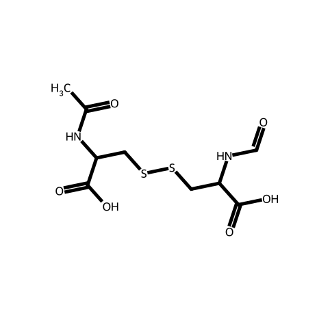 CC(=O)NC(CSSCC(NC=O)C(=O)O)C(=O)O